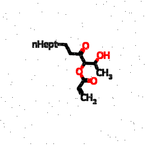 C=CC(=O)OC(C(=O)CCCCCCCCC)C(C)O